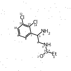 CC[S+]([O-])NCC(N)c1cccc(Cl)c1Cl